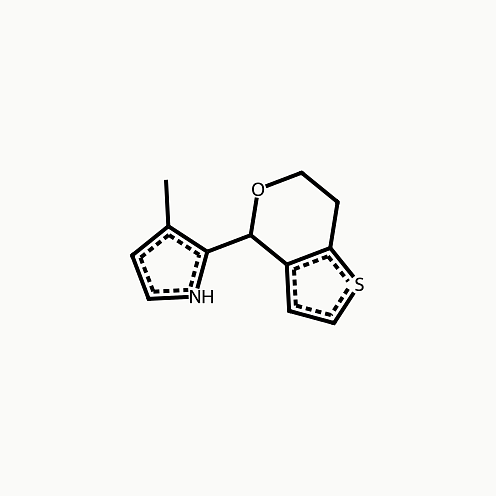 Cc1cc[nH]c1C1OCCc2sccc21